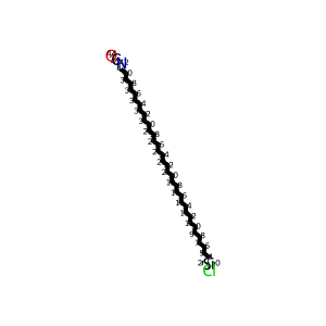 C[Si](C)(Cl)CCCCCCCCCCCCCCCCCCCCCCCCCCCCCCCCCCCCCCN=C=O